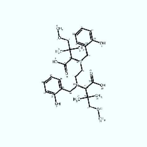 COCC(C)(C)C(C(=O)O)N(CCN(Cc1ccccc1O)C(C(=O)O)C(C)(C)COC)Cc1ccccc1O